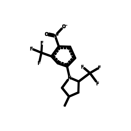 CC1CC(C(F)(F)F)N(c2ccc([N+](=O)[O-])c(C(F)(F)F)c2)C1